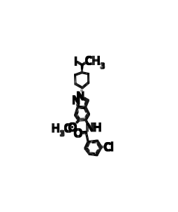 COc1cc2nn([C@H]3CC[C@H](C(C)I)CC3)cc2cc1NC(=O)c1cccc(Cl)c1